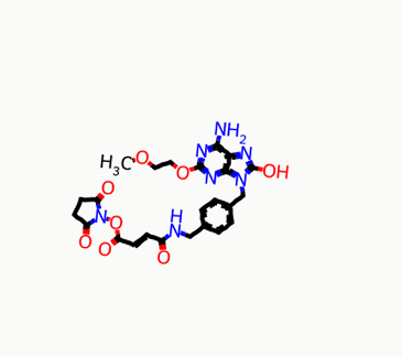 COCCOc1nc(N)c2nc(O)n(Cc3ccc(CNC(=O)/C=C/C(=O)ON4C(=O)CCC4=O)cc3)c2n1